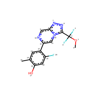 COC(F)(F)c1nnc2cnc(-c3cc(C)c(O)cc3F)cn12